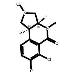 CN1C(=O)c2c(ccc(Cl)c2Cl)[C@H]2CN(Cl)C[C@@H]21